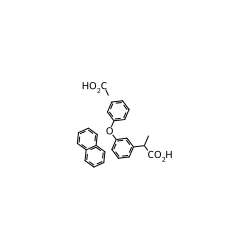 CC(=O)O.CC(C(=O)O)c1cccc(Oc2ccccc2)c1.c1ccc2ccccc2c1